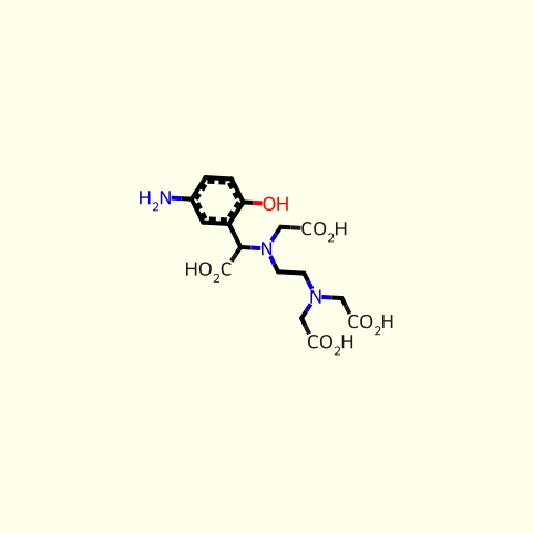 Nc1ccc(O)c(C(C(=O)O)N(CCN(CC(=O)O)CC(=O)O)CC(=O)O)c1